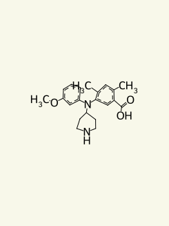 COc1cccc(N(c2cc(C(=O)O)c(C)cc2C)C2CCNCC2)c1